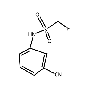 N#Cc1cccc(NS(=O)(=O)CF)c1